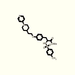 COC(=O)C(Cc1ccc(OCCC2CCN(c3ccncc3)CC2)cc1)NS(=O)(=O)c1ccc(C)cc1